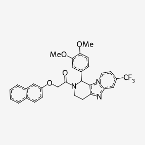 COc1ccc(C2c3c(nc4cc(C(F)(F)F)ccn34)CCN2C(=O)COc2ccc3ccccc3c2)cc1OC